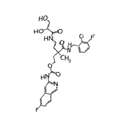 CC(CCNC(=O)C(O)CO)(CCOC(=O)Nc1cc2cc(F)ccc2cn1)C(=O)NCc1cccc(F)c1Cl